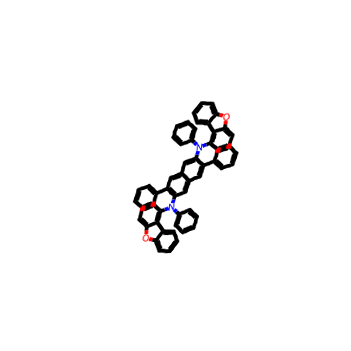 c1ccc(-c2cc3cc(N(c4ccccc4)c4cccc5oc6ccccc6c45)c(-c4ccccc4)cc3cc2N(c2ccccc2)c2cccc3oc4ccccc4c23)cc1